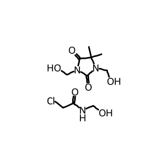 CC1(C)C(=O)N(CO)C(=O)N1CO.O=C(CCl)NCO